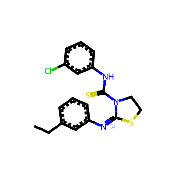 CCc1cccc(/N=C2/SCCN2C(=S)Nc2cccc(Cl)c2)c1